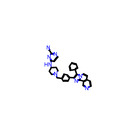 N#Cc1nccc(NC2CCN(Cc3ccc(-c4nc5c6cnccc6ccn5c4-c4ccccc4)cc3)CC2)n1